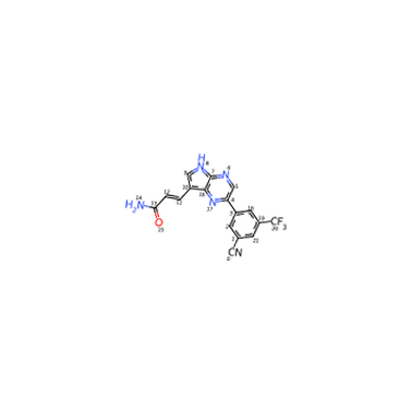 N#Cc1cc(-c2cnc3[nH]cc(C=CC(N)=O)c3n2)cc(C(F)(F)F)c1